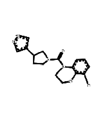 O=C(N1CCC(c2cn[nH]c2)C1)N1CCOc2c(Cl)cccc21